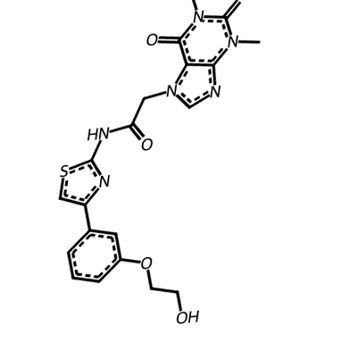 Cn1c(=O)c2c(ncn2CC(=O)Nc2nc(-c3cccc(OCCO)c3)cs2)n(C)c1=O